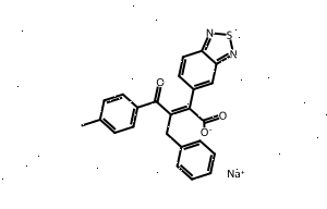 Cc1ccc(C(=O)/C(Cc2ccccc2)=C(/C(=O)[O-])c2ccc3nsnc3c2)cc1.[Na+]